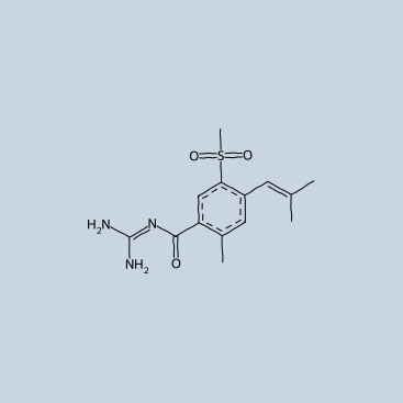 CC(C)=Cc1cc(C)c(C(=O)N=C(N)N)cc1S(C)(=O)=O